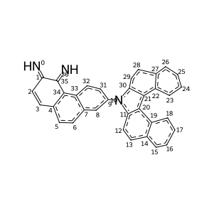 N=C1C=Cc2ccc3cc(-n4c5ccc6ccccc6c5c5c6ccccc6ccc54)ccc3c2C1=N